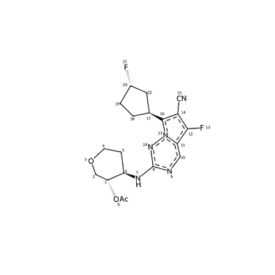 CC(=O)O[C@@H]1COCC[C@H]1Nc1ncc2c(F)c(C#N)c([C@H]3CC[C@H](F)C3)n2n1